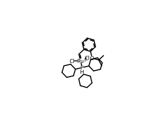 CC(C)Oc1ccccc1[CH]=[Ru-3]([Cl])([Cl])[PH](C1CCCCC1)(C1CCCCC1)C1CCCCC1